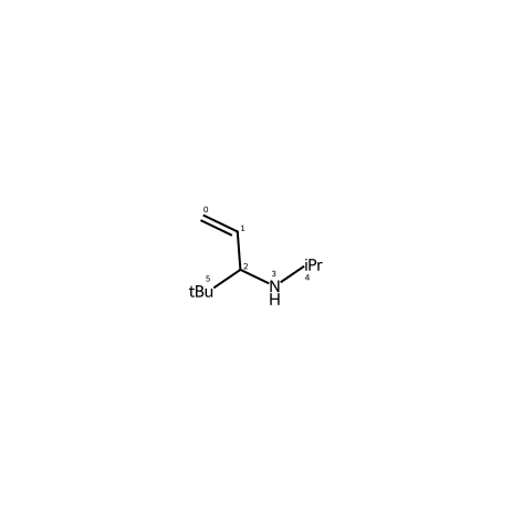 C=CC(NC(C)C)C(C)(C)C